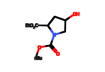 CCCCOC(=O)N1CC(O)CC1C(=O)OCC